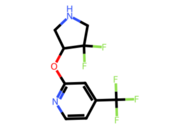 FC(F)(F)c1ccnc(OC2CNCC2(F)F)c1